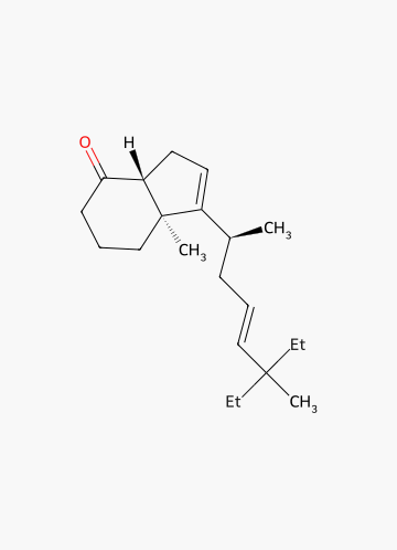 CCC(C)(/C=C/C[C@H](C)C1=CC[C@H]2C(=O)CCC[C@]12C)CC